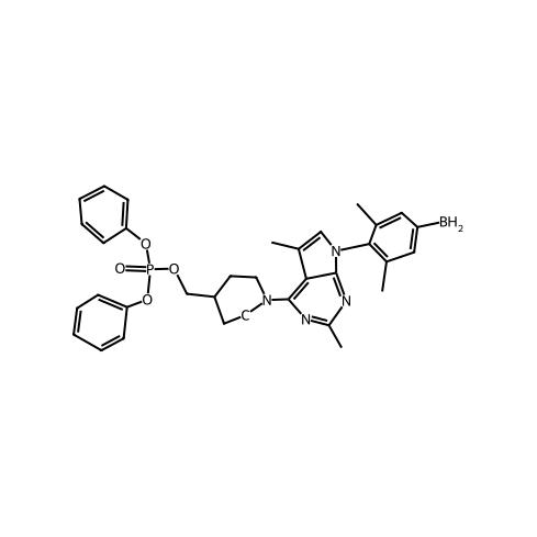 Bc1cc(C)c(-n2cc(C)c3c(N4CCC(COP(=O)(Oc5ccccc5)Oc5ccccc5)CC4)nc(C)nc32)c(C)c1